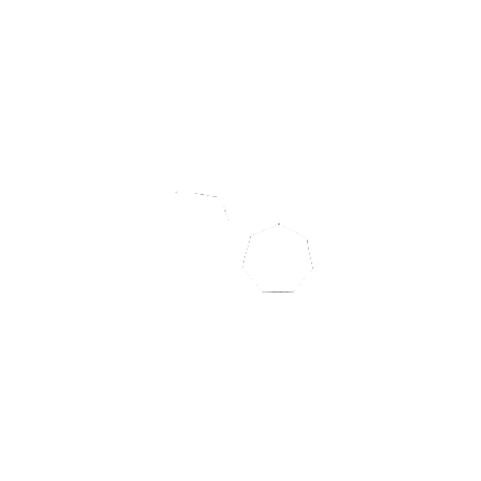 C1CCCCCC1.O=COO